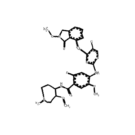 COc1cc(C(=O)NC2CCN(C)CC2OC)c(F)cc1Nc1ncc(Cl)c(Oc2cccc3c2C(=O)N(OC)C3)n1